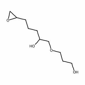 OCCCOCC(O)CCCC1CO1